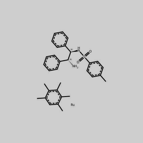 Cc1cc(C)c(C)c(C)c1C.Cc1ccc(S(=O)(=O)N[C@H](c2ccccc2)[C@H](N)c2ccccc2)cc1.[Ru]